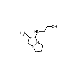 NC1=C(NCCO)N2CCCN2C1